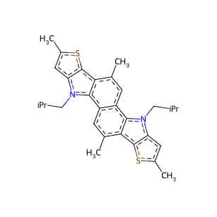 Cc1cc2c(s1)c1c(C)cc3c(cc(C)c4c5sc(C)cc5n(CC(C)C)c34)c1n2CC(C)C